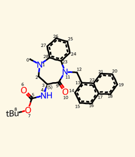 CN1C[C@H](NC(=O)OC(C)(C)C)C(=O)N(Cc2cccc3ccccc23)c2ccccc21